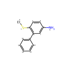 CCSc1ccc(N)cc1-c1ccccc1